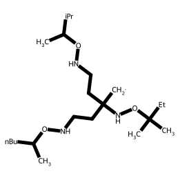 [CH2]C(CCNOC(C)CCCC)(CCNOC(C)C(C)C)NOC(C)(C)CC